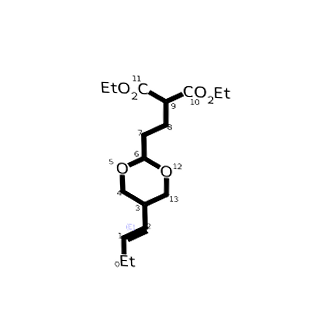 CC/C=C/C1COC(CCC(C(=O)OCC)C(=O)OCC)OC1